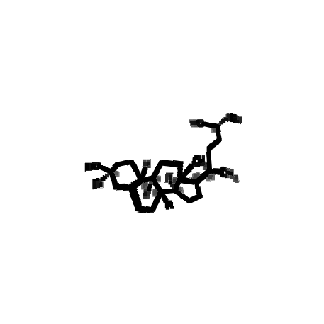 CC[C@]1(O)CC[C@H]2C(=CC[C@@H]3[C@@H]2CC[C@]2(C)[C@@H]([C@H](C)CC[C@H](O)C(C)(C)C)CC[C@@H]32)C1